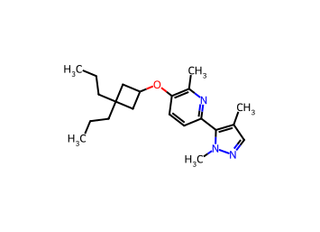 CCCC1(CCC)CC(Oc2ccc(-c3c(C)cnn3C)nc2C)C1